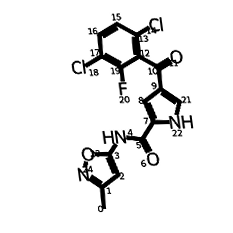 Cc1cc(NC(=O)c2cc(C(=O)c3c(Cl)ccc(Cl)c3F)c[nH]2)on1